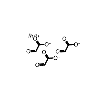 O=CC(=O)[O-].O=CC(=O)[O-].O=CC(=O)[O-].[Ru+3]